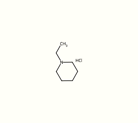 CCN1CCCCC1.Cl